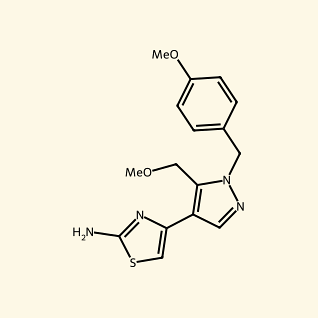 COCc1c(-c2csc(N)n2)cnn1Cc1ccc(OC)cc1